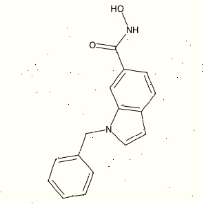 O=C(NO)c1ccc2ccn(Cc3ccccc3)c2c1